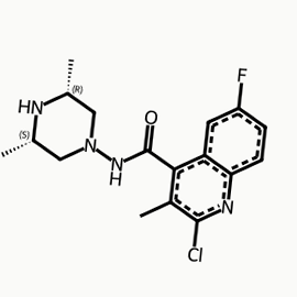 Cc1c(Cl)nc2ccc(F)cc2c1C(=O)NN1C[C@@H](C)N[C@@H](C)C1